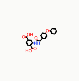 O=C(Cc1ccc(Oc2ccccc2)cc1)Nc1cc(C(=O)O)ccc1C(=O)O